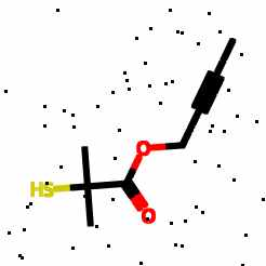 CC#CCOC(=O)C(C)(C)S